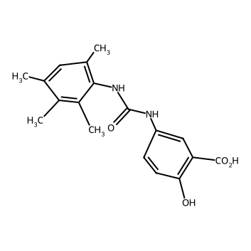 Cc1cc(C)c(NC(=O)Nc2ccc(O)c(C(=O)O)c2)c(C)c1C